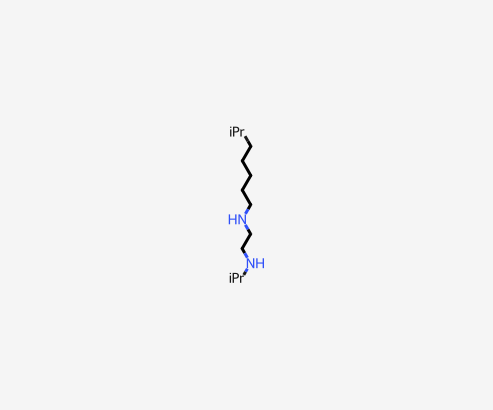 CC(C)CCCCCNCCNC(C)C